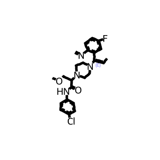 C=Nc1ccc(F)cc1/C(=C\C)N1CCN(C(COC)C(=O)Nc2ccc(Cl)cc2)CC1